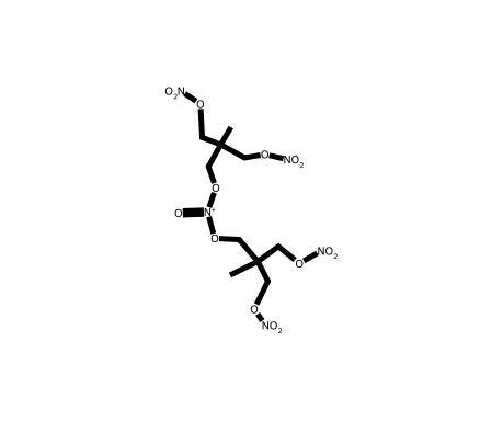 CC(CO[N+](=O)[O-])(CO[N+](=O)[O-])CO[N+](=O)OCC(C)(CO[N+](=O)[O-])CO[N+](=O)[O-]